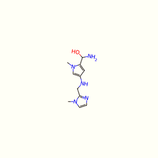 Cn1cc(NCc2nccn2C)cc1C(N)O